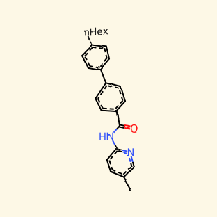 CCCCCCc1ccc(-c2ccc(C(=O)Nc3ccc(C)cn3)cc2)cc1